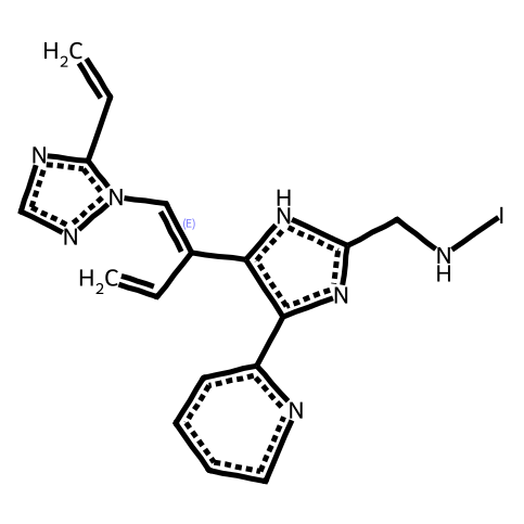 C=C/C(=C\n1ncnc1C=C)c1[nH]c(CNI)nc1-c1ccccn1